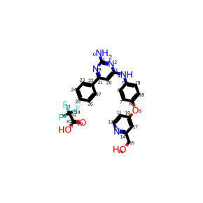 Nc1nc(Nc2ccc(Oc3ccnc(CO)c3)cc2)cc(-c2ccccc2)n1.O=C(O)C(F)(F)F